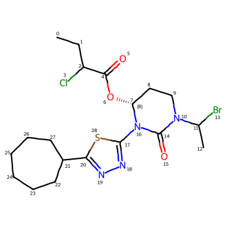 CCC(Cl)C(=O)O[C@@H]1CCN(C(C)Br)C(=O)N1c1nnc(C2CCCCCC2)s1